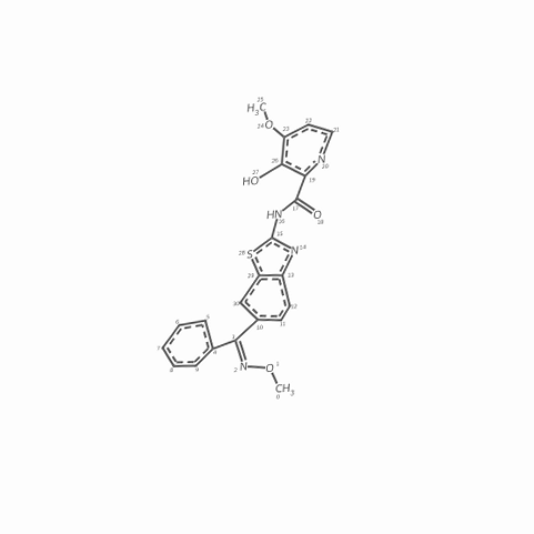 CO/N=C(/c1ccccc1)c1ccc2nc(NC(=O)c3nccc(OC)c3O)sc2c1